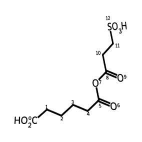 O=C(O)CCCCC(=O)OC(=O)CCS(=O)(=O)O